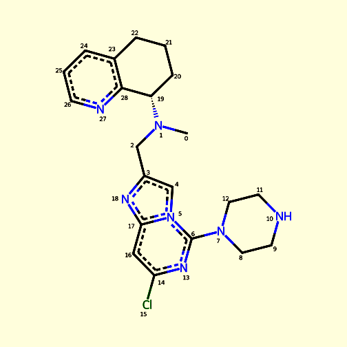 CN(Cc1cn2c(N3CCNCC3)nc(Cl)cc2n1)[C@H]1CCCc2cccnc21